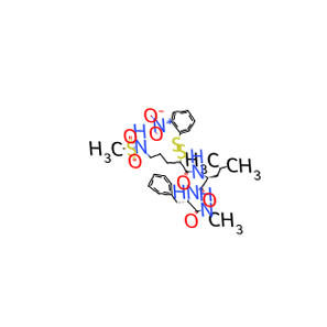 CNC(=O)[C@H](Cc1ccccc1)NC(=O)[C@H](CC(C)C)NC(=O)C(CCCNS(C)(=O)=O)SSc1ccccc1[N+](=O)[O-]